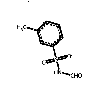 Cc1cccc(S(=O)(=O)NC=O)c1